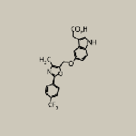 Cc1nc(-c2ccc(C(F)(F)F)cc2)oc1COc1ccc2[nH]cc(CC(=O)O)c2c1